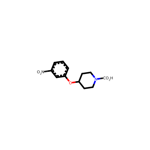 O=C(O)N1CCC(Oc2cccc([N+](=O)[O-])c2)CC1